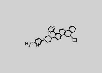 Cc1ccc(N2CCC(c3ccc4c5c(ccc4c3C3=NCCS3)C3=C(CCC=C3)C(C3CCC3)C5)CC2)cn1